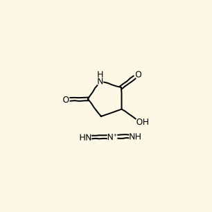 N=[N+]=N.O=C1CC(O)C(=O)N1